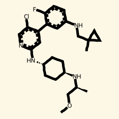 COC[C@H](C)N[C@H]1CC[C@H](Nc2cc(-c3cc(NCC4(C)CC4)ccc3F)c(Cl)cn2)CC1